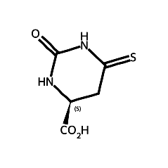 O=C1NC(=S)C[C@@H](C(=O)O)N1